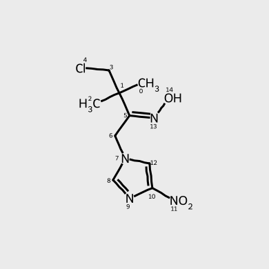 CC(C)(CCl)C(Cn1cnc([N+](=O)[O-])c1)=NO